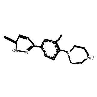 C=C1C=CC(c2ccc(N3CCNCC3)c(C)c2)=NN1